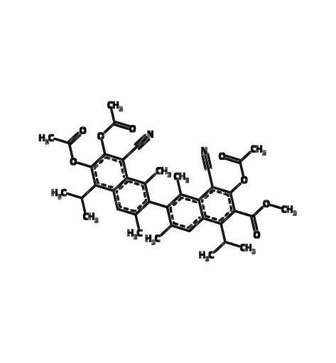 COC(=O)c1c(OC(C)=O)c(C#N)c2c(C)c(-c3c(C)cc4c(C(C)C)c(OC(C)=O)c(OC(C)=O)c(C#N)c4c3C)c(C)cc2c1C(C)C